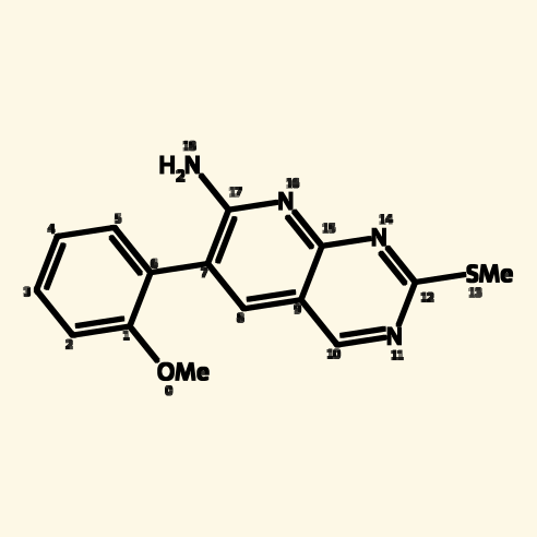 COc1ccccc1-c1cc2cnc(SC)nc2nc1N